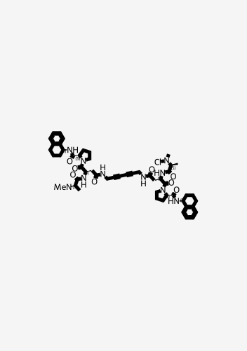 CN[C@@H](C)C(=O)N[C@@H](CC(=O)NCC#CC#CCNC(=O)C[C@H](NC(=O)[C@H](C)N(C)Cl)C(=O)N1CCC[C@H]1C(=O)N[C@@H]1CCCc2ccccc21)C(=O)N1CCC[C@H]1C(=O)N[C@@H]1CCCc2ccccc21